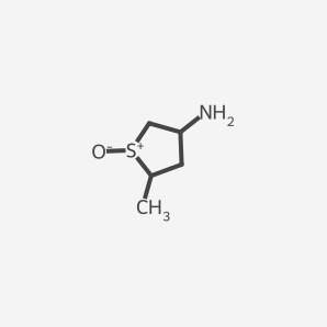 CC1CC(N)C[S+]1[O-]